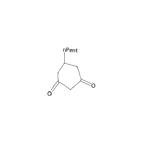 CCCCCC1CC(=O)CC(=O)C1